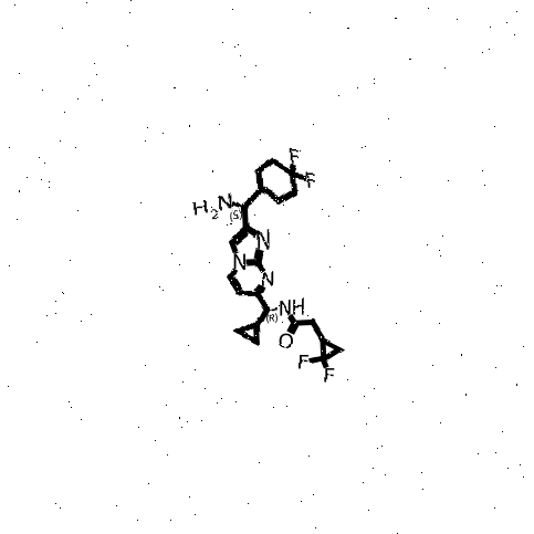 N[C@H](c1cn2ccc([C@H](NC(=O)CC3CC3(F)F)C3CC3)nc2n1)C1CCC(F)(F)CC1